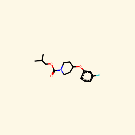 CC(C)COC(=O)N1CCC(Oc2cccc(F)c2)CC1